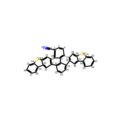 N#Cc1cccc(-c2c(-c3ccc4sc5ccccc5c4c3)cccc2-c2ccc3sc4ccccc4c3c2)c1